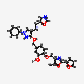 COc1cc(COc2nn(-c3ccccc3)cc2/C=C/c2cnco2)ccc1OCc1nc(-c2ccco2)oc1C